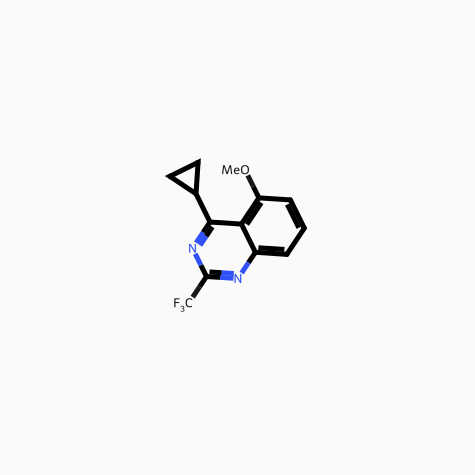 COc1cccc2nc(C(F)(F)F)nc(C3CC3)c12